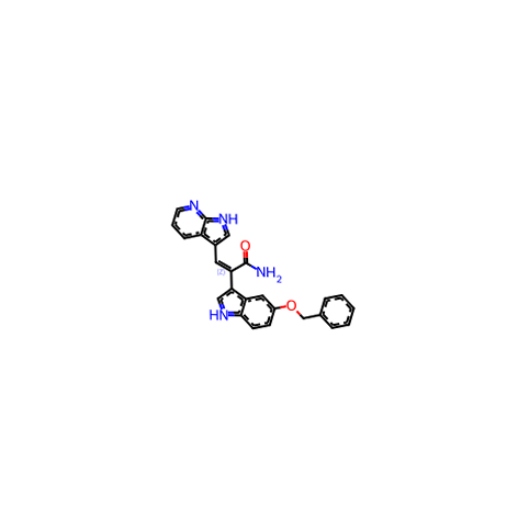 NC(=O)/C(=C\c1c[nH]c2ncccc12)c1c[nH]c2ccc(OCc3ccccc3)cc12